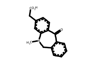 CN1Cc2ccccc2C(=O)c2ccc(CC(=O)O)cc21